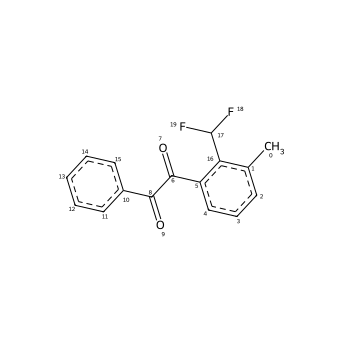 Cc1cccc(C(=O)C(=O)c2ccccc2)c1C(F)F